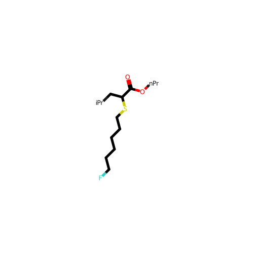 CCCOC(=O)C(CC(C)C)SCCCCCCF